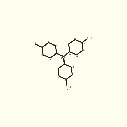 CC1CCC(N(C2CCC(O)CC2)C2CCC(O)CC2)CC1